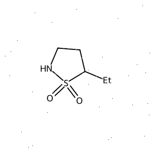 CCC1CCNS1(=O)=O